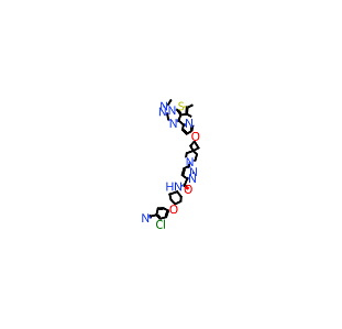 Cc1sc2c(c1C)C(c1ccc(OC3CC4(CCN(c5ccc(C(=O)N[C@H]6CC[C@H](Oc7ccc(C#N)c(Cl)c7)CC6)nn5)CC4)C3)cn1)=NCc1nnc(C)n1-2